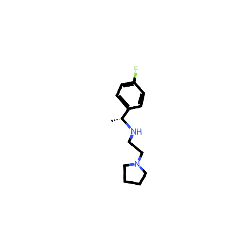 C[C@@H](NCCN1CCCC1)c1ccc(F)cc1